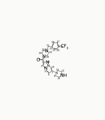 O=C(c1cn2ccc(C3CCNCC3)cc2n1)N1CCN(Cc2ccc(C(F)(F)F)cc2)CC1